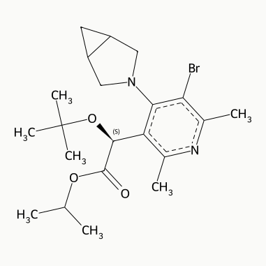 Cc1nc(C)c([C@H](OC(C)(C)C)C(=O)OC(C)C)c(N2CC3CC3C2)c1Br